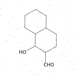 O=CC1CCC2CCCCC2C1O